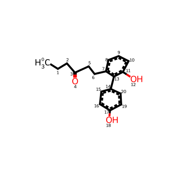 CCCC(=O)CCc1cccc(O)c1-c1ccc(O)cc1